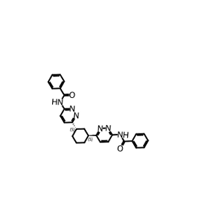 O=C(Nc1ccc([C@H]2CCC[C@H](c3ccc(NC(=O)c4ccccc4)nn3)C2)nn1)c1ccccc1